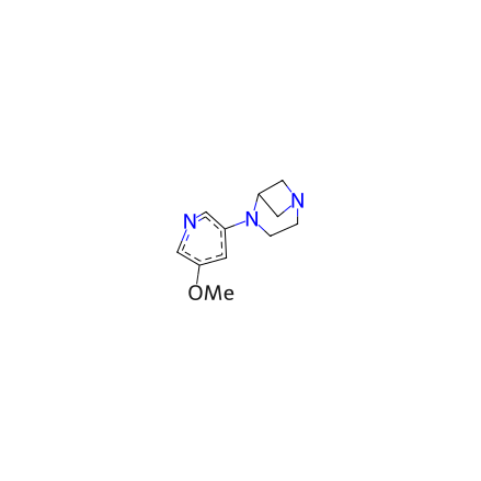 COc1cncc(N2CCN3CC2C3)c1